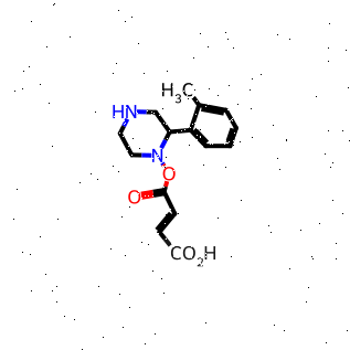 Cc1ccccc1C1CNCCN1OC(=O)C=CC(=O)O